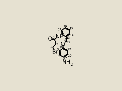 NC(=O)CCBr.Nc1ccc(OCc2ccccc2)cc1